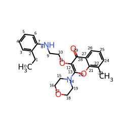 CCc1ccccc1NCCOc1c(N2CCOCC2)oc2c(C)cccc2c1=O